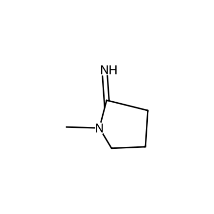 CN1CCCC1=N